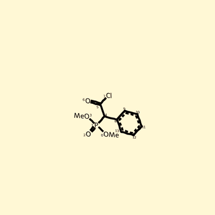 COP(=O)(OC)C(C(=O)Cl)c1ccccc1